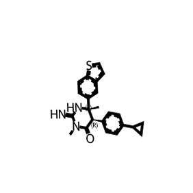 CN1C(=N)N[C@](C)(c2ccc3sccc3c2)[C@@H](c2ccc(C3CC3)cc2)C1=O